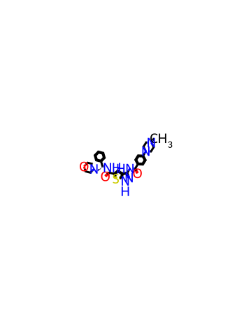 CN1CCN(c2ccc(C(=O)Nc3n[nH]c4sc(C(=O)N[C@H](CN5CCOCC5)c5ccccc5)cc34)cc2)CC1